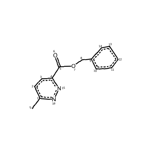 Cc1ccc(C(=O)OCc2ccccc2)nn1